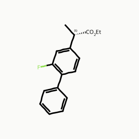 CCOC(=O)[C@@H](C)c1ccc(-c2ccccc2)c(F)c1